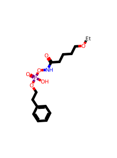 CCOCCCCC(=O)NOP(=O)(O)OCCc1ccccc1